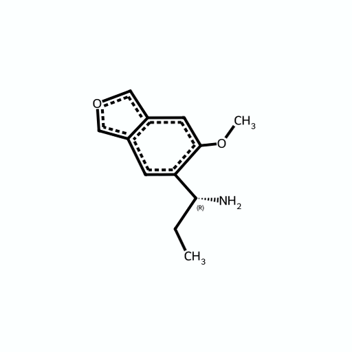 CC[C@@H](N)c1cc2cocc2cc1OC